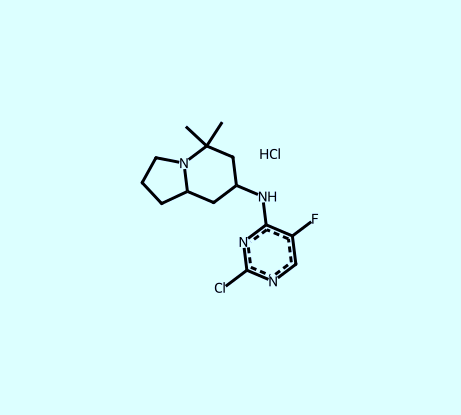 CC1(C)CC(Nc2nc(Cl)ncc2F)CC2CCCN21.Cl